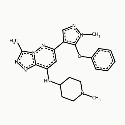 Cc1nnc2c(NC3CCN(C)CC3)cc(-c3cnn(C)c3Oc3ccccc3)nn12